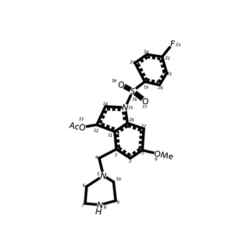 COc1cc(CN2CCNCC2)c2c(OC(C)=O)cn(S(=O)(=O)c3ccc(F)cc3)c2c1